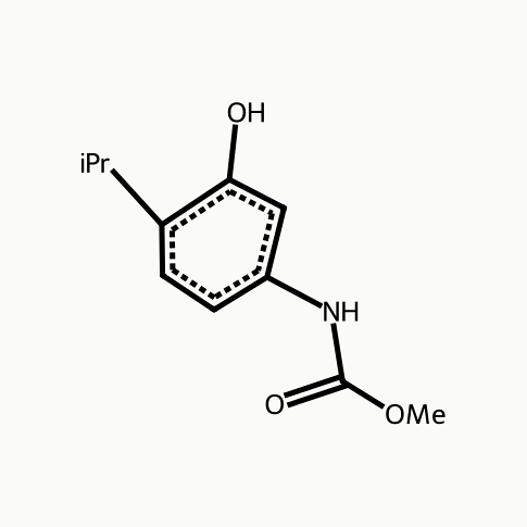 COC(=O)Nc1ccc(C(C)C)c(O)c1